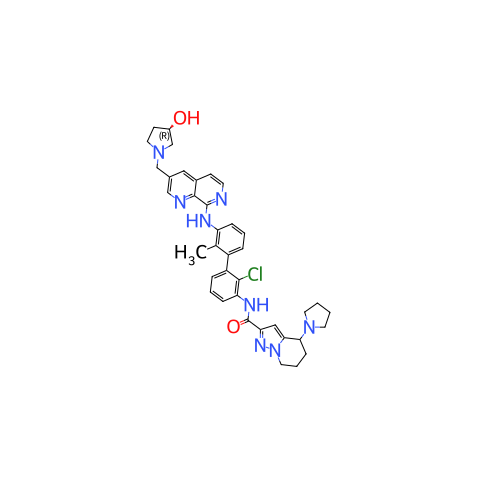 Cc1c(Nc2nccc3cc(CN4CC[C@@H](O)C4)cnc23)cccc1-c1cccc(NC(=O)c2cc3n(n2)CCCC3N2CCCC2)c1Cl